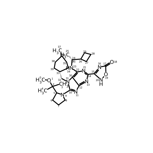 COC(C)(C)C1CCCN1c1nc2nc(-c3nc(=O)o[nH]3)nc(N[C@H](C)C3CCC3)c2n1C[C@H]1CC[C@H](C)CC1